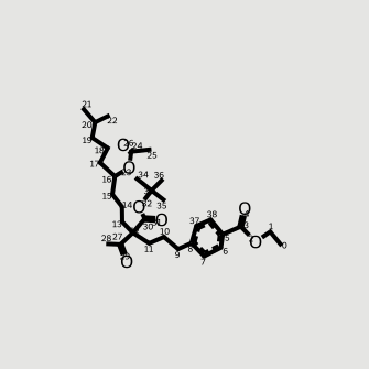 CCOC(=O)c1ccc(CCCC(CCCC(CCCC(C)C)OC(C)=O)(C(C)=O)C(=O)OC(C)(C)C)cc1